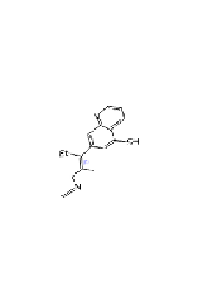 C=NC/C(C)=C(\CC)c1cc(S)c2cccnc2c1